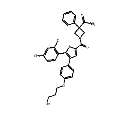 NC(=O)C1(c2ccccc2)CN(C(=O)c2cc(-c3ccc(OCCCO)cc3)c(-c3ccc(Cl)cc3Cl)s2)C1